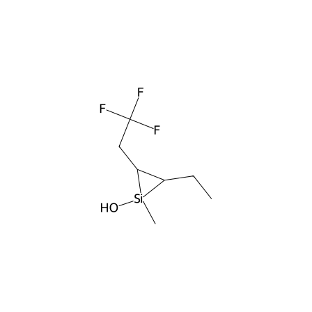 CCC1C(CC(F)(F)F)[Si]1(C)O